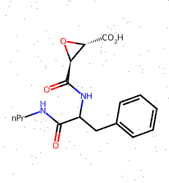 CCCNC(=O)C(Cc1ccccc1)NC(=O)[C@H]1O[C@@H]1C(=O)O